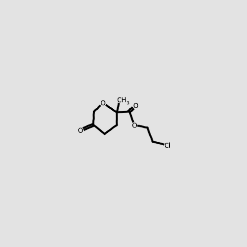 CC1(C(=O)OCCCl)CCC(=O)CO1